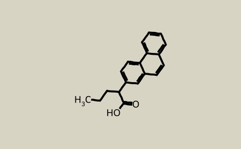 CCCC(C(=O)O)c1ccc2c(ccc3ccccc32)c1